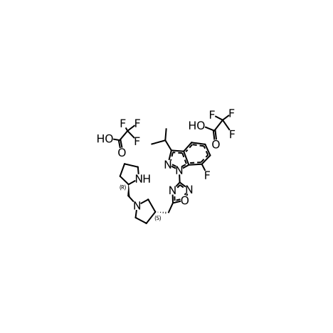 CC(C)c1nn(-c2noc(C[C@@H]3CCN(C[C@H]4CCCN4)C3)n2)c2c(F)cccc12.O=C(O)C(F)(F)F.O=C(O)C(F)(F)F